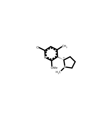 COc1nc(Cl)cc(C)c1[C@@H]1CCCN1C